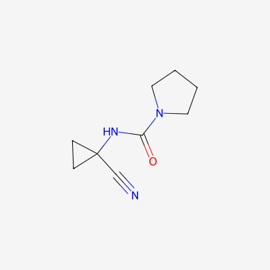 N#CC1(NC(=O)N2CCCC2)CC1